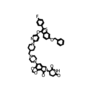 O=C1CCC(N2Cc3cc(N4CCN(CC5CCN(c6ccc(Oc7c(-c8ccc(F)cc8)sc8cc(OCc9ccccc9)ccc78)cn6)CC5)CC4)c4c(c3C2=O)OCO4)C(=O)N1